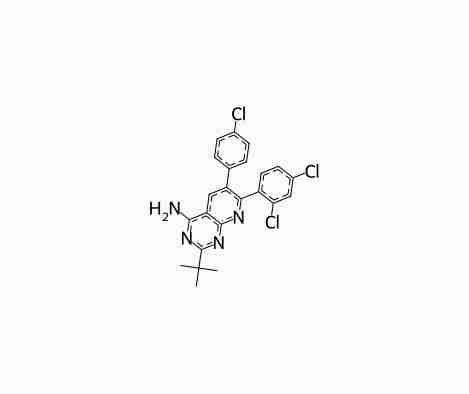 CC(C)(C)c1nc(N)c2cc(-c3ccc(Cl)cc3)c(-c3ccc(Cl)cc3Cl)nc2n1